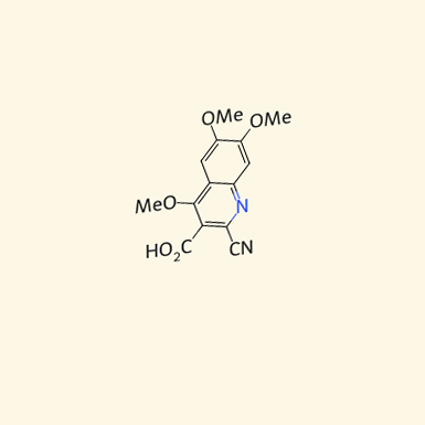 COc1cc2nc(C#N)c(C(=O)O)c(OC)c2cc1OC